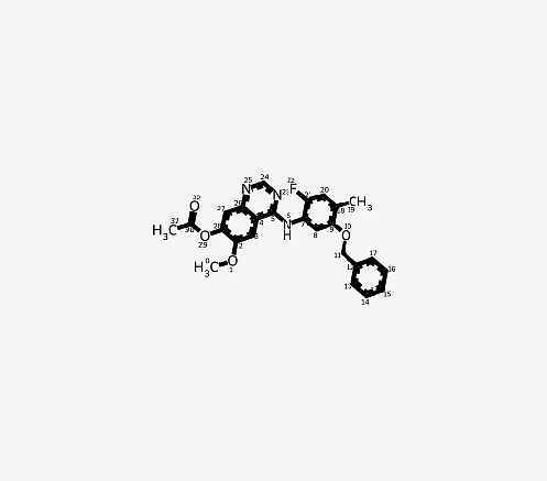 COc1cc2c(Nc3cc(OCc4ccccc4)c(C)cc3F)ncnc2cc1OC(C)=O